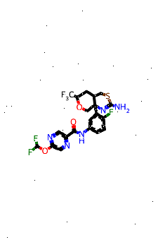 NC1=NC2(c3cc(NC(=O)c4cnc(OC(F)F)cn4)ccc3F)COC(C(F)(F)F)CC2CS1